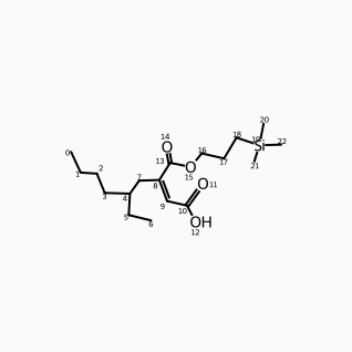 CCCCC(CC)CC(=CC(=O)O)C(=O)OCCC[Si](C)(C)C